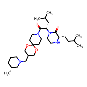 CC(C)CC[C@@H]1NCCN([C@@H](CC(C)C)C(=O)N2CCC3(CC2)OCC(CN2CCC[C@@H](C)C2)CO3)C1=O